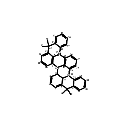 CC1(C)C2=CC=CC3B4c5cccc6c5N(c5ccccc5C6(C)C)c5cccc(c54)N(c4ccccc41)C23